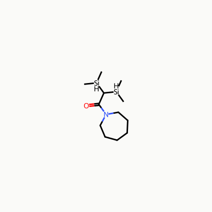 C[SiH](C)C(C(=O)N1CCCCCC1)[SiH](C)C